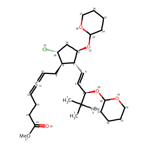 CCCCC(C)(C)[C@@H](/C=C/[C@@H]1[C@@H](CC=C=CCCC(=O)OC)[C@H](Cl)C[C@H]1OC1CCCCO1)OC1CCCCO1